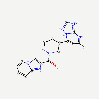 Cc1cc(C2CCCN(C(=O)c3cn4ccccc4n3)C2)n2ncnc2n1